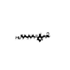 CC(=O)OCc1nccc(OCCCCCCCCO)c1C